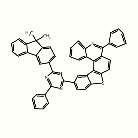 CC1(C)c2ccccc2-c2cc(-c3nc(-c4ccccc4)nc(-c4ccc5sc6ccc7c(-c8ccccc8)nc8ccccc8c7c6c5c4)n3)ccc21